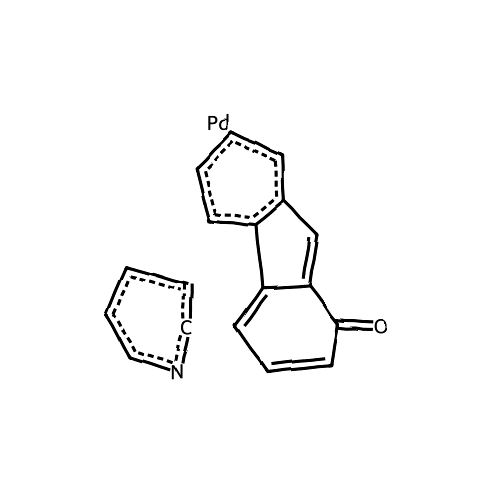 O=C1C=CC=C2C1=Cc1ccccc12.[Pd].c1ccncc1